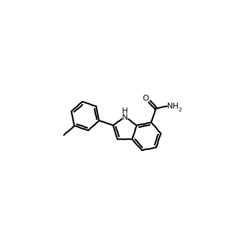 Cc1cccc(-c2cc3cccc(C(N)=O)c3[nH]2)c1